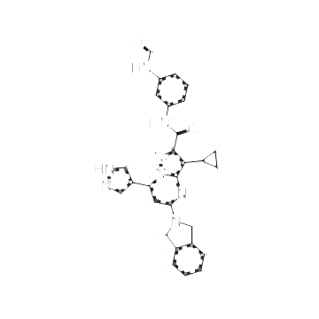 O=CNc1cccc(NC(=O)c2nn3c(-c4cn[nH]c4)cc(N4Cc5ccccc5C4)nc3c2C2CC2)c1